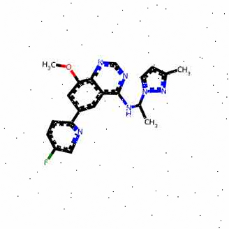 COc1cc(-c2ccc(F)cn2)cc2c(NC(C)n3ccc(C)n3)ncnc12